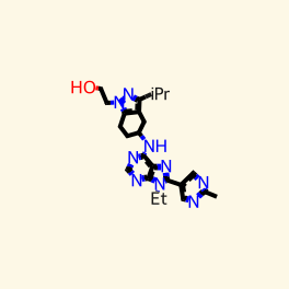 CCn1c(-c2cnc(C)nc2)nc2c(NC3CCc4c(c(C(C)C)nn4CCO)C3)ncnc21